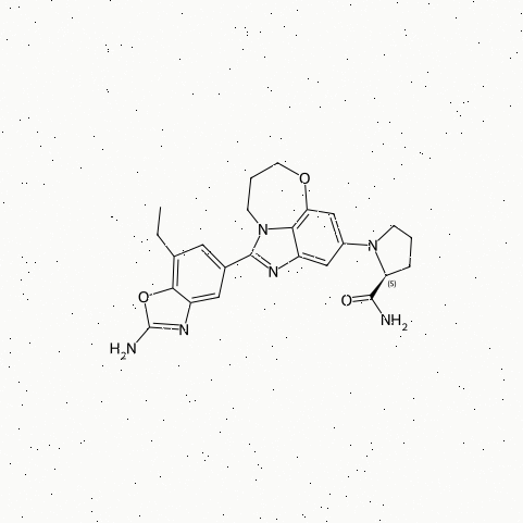 CCc1cc(-c2nc3cc(N4CCC[C@H]4C(N)=O)cc4c3n2CCCO4)cc2nc(N)oc12